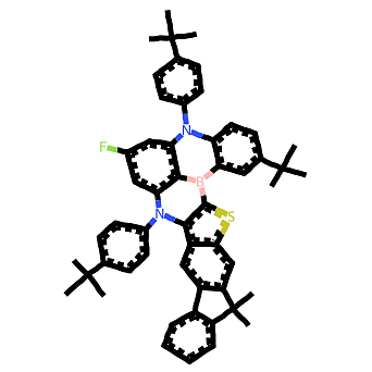 CC(C)(C)c1ccc(N2c3ccc(C(C)(C)C)cc3B3c4sc5cc6c(cc5c4N(c4ccc(C(C)(C)C)cc4)c4cc(F)cc2c43)-c2ccccc2C6(C)C)cc1